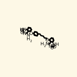 NC1=NS(=O)(=O)Nc2cccc(OCCCCCc3ccc(Oc4cccc5c4C(N)=NS(=O)(=O)N5)cc3)c21